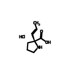 CC=C[C@]1(C(=O)O)CCCN1.Cl